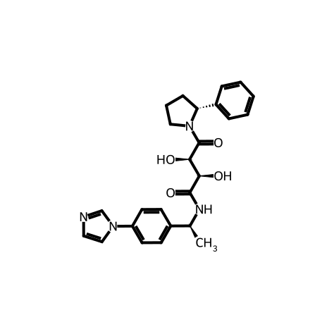 C[C@H](NC(=O)[C@H](O)[C@@H](O)C(=O)N1CCC[C@@H]1c1ccccc1)c1ccc(-n2ccnc2)cc1